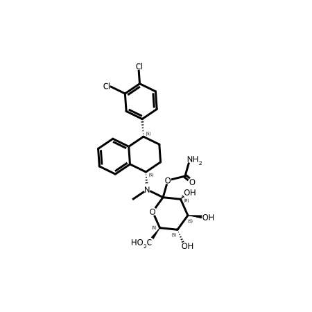 CN([C@H]1CC[C@@H](c2ccc(Cl)c(Cl)c2)c2ccccc21)C1(OC(N)=O)O[C@H](C(=O)O)[C@@H](O)[C@H](O)[C@H]1O